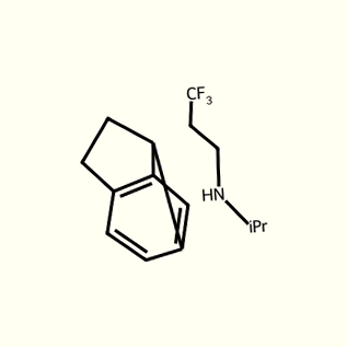 CC(C)NCCC(F)(F)F.c1cc2c3cc1C3CC2